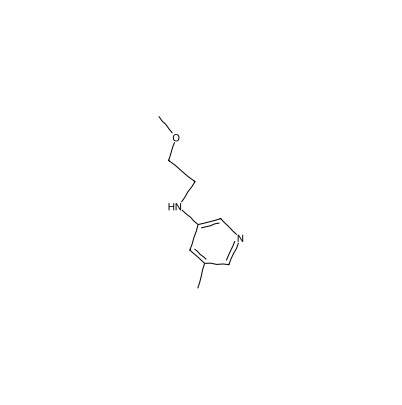 COCCNc1cncc(C)c1